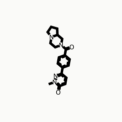 Cn1nc(-c2ccc(C(=O)N3CCN4CCCC4C3)cc2)ccc1=O